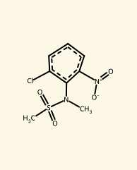 CN(c1c(Cl)cccc1[N+](=O)[O-])S(C)(=O)=O